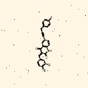 O=C1Nc2ccc(C#CCc3ccc(F)cc3)cc2C(=O)/C1=C/c1ccc(Cl)c(Cl)c1